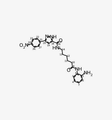 Nc1ccccc1NC(=O)CCCCCNC(=O)c1cc(-c2ccc([N+](=O)[O-])cc2)n[nH]1